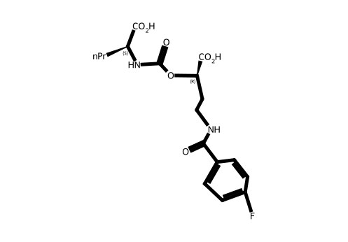 CCC[C@H](NC(=O)O[C@H](CCNC(=O)c1ccc(F)cc1)C(=O)O)C(=O)O